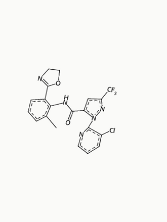 Cc1cccc(C2=NCCO2)c1NC(=O)c1cc(C(F)(F)F)nn1-c1ncccc1Cl